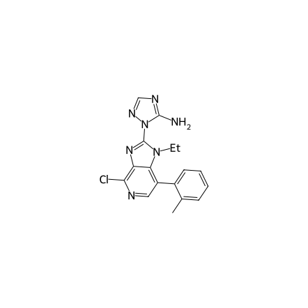 CCn1c(-n2ncnc2N)nc2c(Cl)ncc(-c3ccccc3C)c21